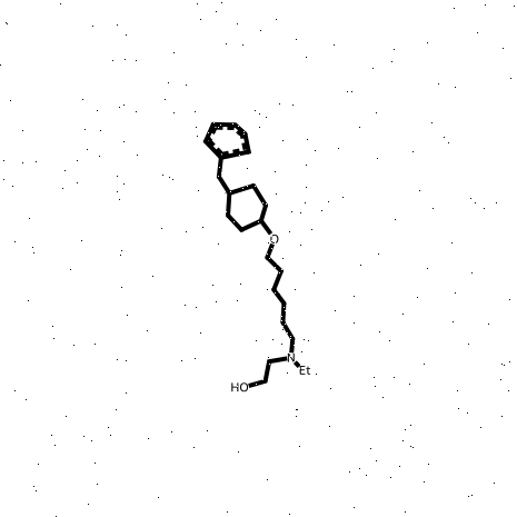 CCN(CCO)CCCCCCOC1CC[C](Cc2ccccc2)CC1